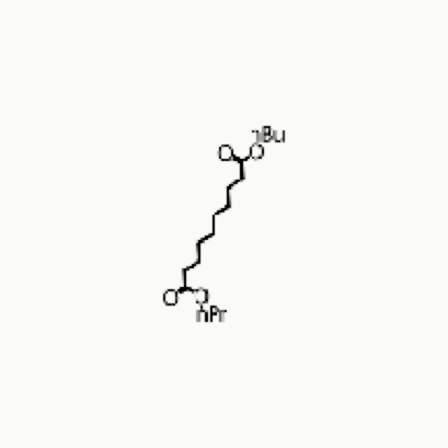 CCCCOC(=O)CCCCCCCCC(=O)OCCC